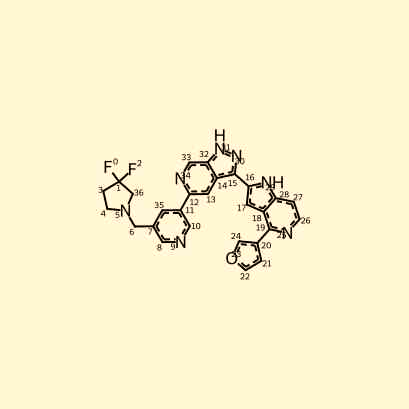 FC1(F)CCN(Cc2cncc(-c3cc4c(-c5cc6c(-c7ccoc7)nccc6[nH]5)n[nH]c4cn3)c2)C1